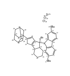 CC(C)C1(C2c3cc(C(C)(C)C)ccc3-c3ccc(C(C)(C)C)cc32)C2=C(CC(C34CC5CC(CC(C5)C3)C4)=C2)C2CCCCC21.[Cl-].[Cl-].[Zr+2]